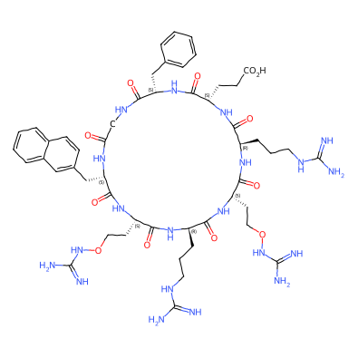 N=C(N)NCCC[C@H]1NC(=O)[C@H](CCONC(=N)N)NC(=O)[C@@H](CCCNC(=N)N)NC(=O)[C@H](CCONC(=N)N)NC(=O)[C@H](Cc2ccc3ccccc3c2)NC(=O)CNC(=O)[C@H](Cc2ccccc2)NC(=O)[C@H](CCC(=O)O)NC1=O